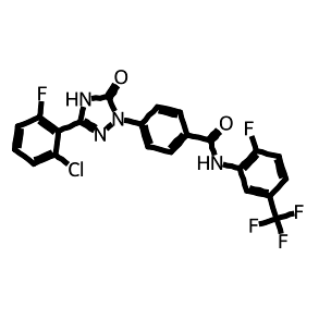 O=C(Nc1cc(C(F)(F)F)ccc1F)c1ccc(-n2nc(-c3c(F)cccc3Cl)[nH]c2=O)cc1